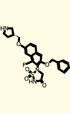 O=C1CN(c2c(OCc3ccccc3)cc3ccc(OC[C@@H]4CCNC4)cc3c2F)S(=O)(=O)N1